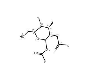 CC(=O)OC1O[C@@H](CO)[C@H](C)[C@@H](C)[C@H]1OC(C)=O